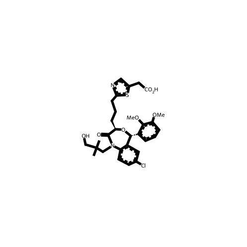 COc1cccc([C@H]2O[C@H](CCCc3ncc(CC(=O)O)s3)C(=O)N(CC(C)(C)CO)c3ccc(Cl)cc32)c1OC